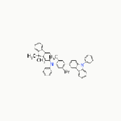 Cc1cc(-c2ccc3c(c2)c2ccccc2n3-c2ccccc2)c(C(C)C)cc1N(c1ccccc1)c1ccc2c(c1)C(C)(C)c1ccccc1-2